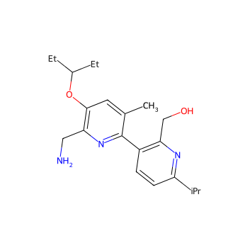 CCC(CC)Oc1cc(C)c(-c2ccc(C(C)C)nc2CO)nc1CN